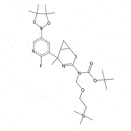 CC(C)(C)OC(=O)N(COCC[Si](C)(C)C)C1=NC(C)(c2cc(B3OC(C)(C)C(C)(C)O3)cnc2F)C2CC2S1